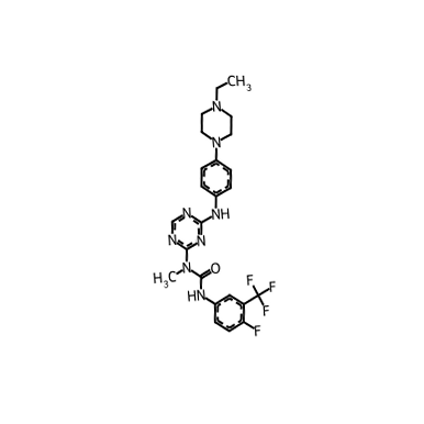 CCN1CCN(c2ccc(Nc3ncnc(N(C)C(=O)Nc4ccc(F)c(C(F)(F)F)c4)n3)cc2)CC1